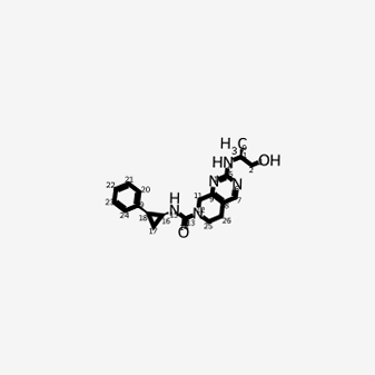 C[C@@H](CO)Nc1ncc2c(n1)CN(C(=O)N[C@@H]1C[C@H]1c1ccccc1)CC2